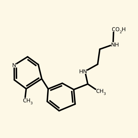 Cc1cnccc1-c1cccc(C(C)NCCNC(=O)O)c1